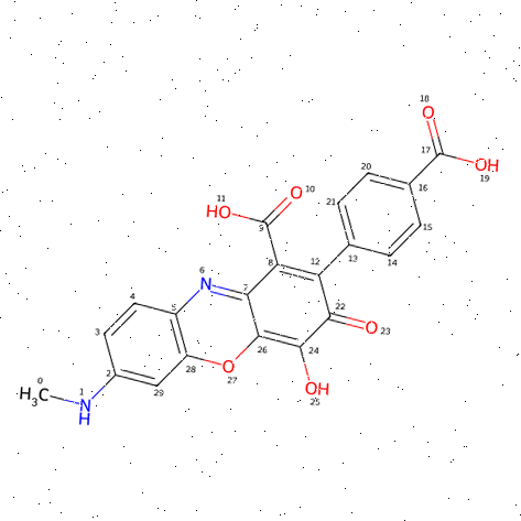 CNc1ccc2nc3c(C(=O)O)c(-c4ccc(C(=O)O)cc4)c(=O)c(O)c-3oc2c1